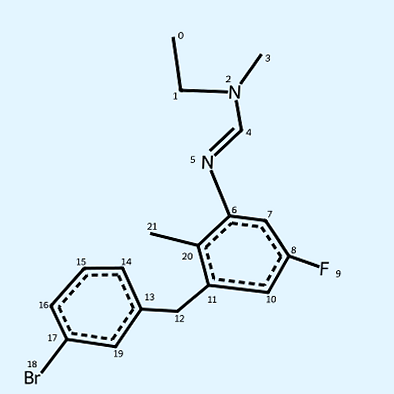 CCN(C)C=Nc1cc(F)cc(Cc2cccc(Br)c2)c1C